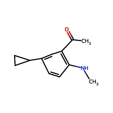 CNc1ccc(C2CC2)cc1C(C)=O